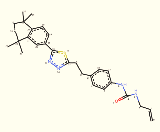 C=CCNC(=O)Nc1ccc(CCc2nnc(-c3ccc4c(c3)C(C)(C)CCC4(C)C)s2)cc1